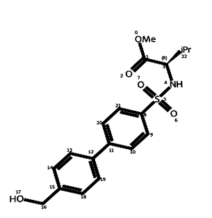 COC(=O)[C@H](NS(=O)(=O)c1ccc(-c2ccc(CO)cc2)cc1)C(C)C